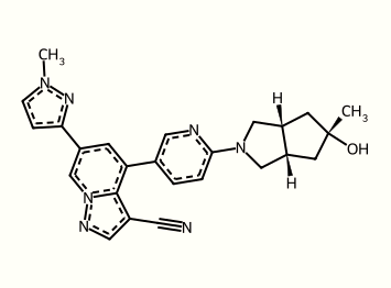 Cn1ccc(-c2cc(-c3ccc(N4C[C@@H]5C[C@](C)(O)C[C@@H]5C4)nc3)c3c(C#N)cnn3c2)n1